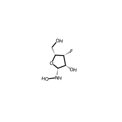 OC[C@H]1O[C@@H](NO)[C@@H](O)[C@H]1F